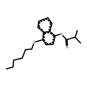 CCCCCCSc1ccc(OC(=O)C(C)C)c2ccccc12